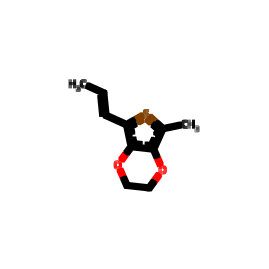 C/C=C/c1sc(C)c2c1OCCO2